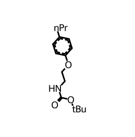 CCCc1ccc(OCCNC(=O)OC(C)(C)C)cc1